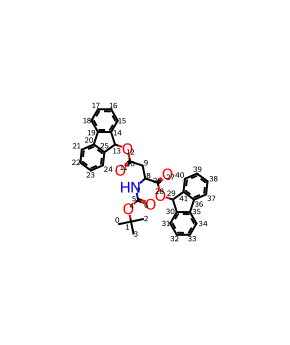 CC(C)(C)OC(=O)NC(CC(=O)OC1c2ccccc2-c2ccccc21)C(=O)OC1c2ccccc2-c2ccccc21